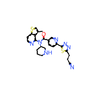 Cc1csc2ccnc(N(C(=O)c3ccc(-c4nnc(CCC#N)s4)nc3)[C@@H]3CCCNC3)c12